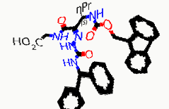 CCC[C@H](NC(=O)OCC1c2ccccc2-c2ccccc21)C(=NNC(=O)NC(c1ccccc1)c1ccccc1)C(=O)NCC(=O)O